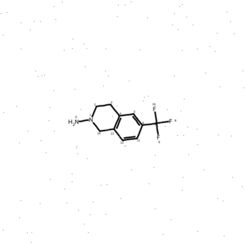 NN1CCc2cc(C(F)(F)F)ccc2C1